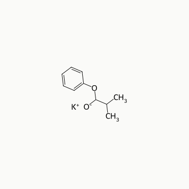 CC(C)C([O-])Oc1ccccc1.[K+]